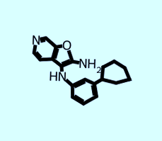 Nc1oc2cnccc2c1Nc1cccc(C2CCCCC2)c1